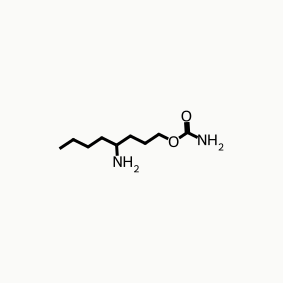 CCCCC(N)CCCOC(N)=O